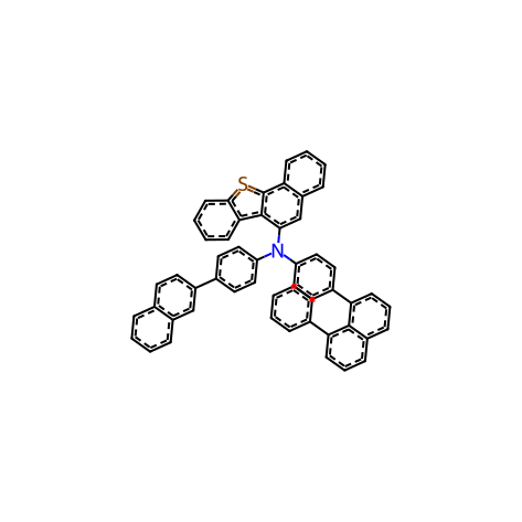 c1ccc(-c2cccc3cccc(-c4ccc(N(c5ccc(-c6ccc7ccccc7c6)cc5)c5cc6ccccc6c6sc7ccccc7c56)cc4)c23)cc1